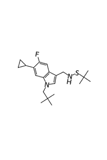 CC(C)(C)Cn1cc(CNSC(C)(C)C)c2cc(F)c(C3CC3)cc21